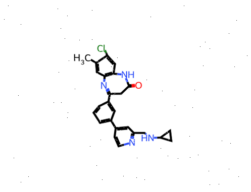 Cc1cc2c(cc1Cl)NC(=O)CC(c1cccc(-c3ccnc(CNC4CC4)c3)c1)=N2